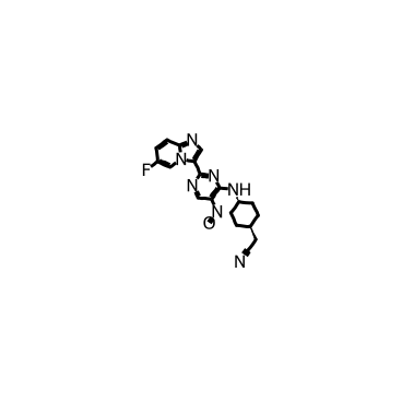 N#CC[C@H]1CC[C@H](Nc2nc(-c3cnc4ccc(F)cn34)ncc2N=O)CC1